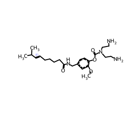 COc1cc(CNC(=O)CCCC/C=C/C(C)C)ccc1OC(=O)N(CCN)CCN